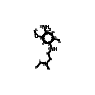 CCN(C)CCNc1cc(OC)c(N)cc1C